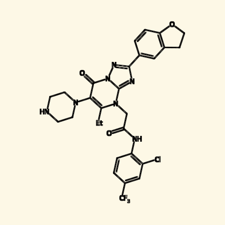 CCc1c(N2CCNCC2)c(=O)n2nc(-c3ccc4c(c3)CCO4)nc2n1CC(=O)Nc1ccc(C(F)(F)F)cc1Cl